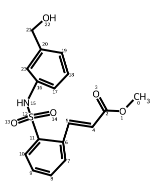 COC(=O)/C=C/c1ccccc1S(=O)(=O)Nc1cccc(CO)c1